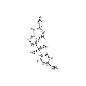 [C-]#[N+]c1cnc2c(ccn2S(=O)(=O)c2ccc(C)cc2)c1